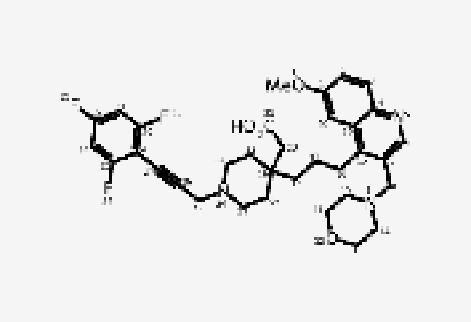 COc1ccc2ncc(CN3CCOCC3)c(CCCC3(CC(=O)O)CCN(CC#Cc4c(F)cc(F)cc4F)CC3)c2c1